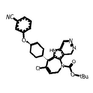 CC(C)(C)OC(=O)N1CC=C(Cl)C([C@H]2CC[C@H](Oc3cccc(C#N)c3)CC2)=c2[nH]c3c(c21)CN=NC=3